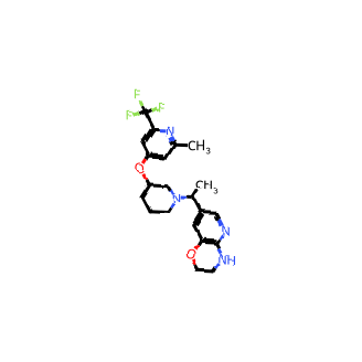 Cc1cc(OC2CCCN(C(C)c3cnc4c(c3)OCCN4)C2)cc(C(F)(F)F)n1